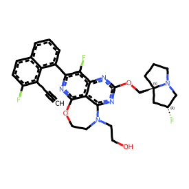 C#Cc1c(F)ccc2cccc(-c3nc4c5c(nc(OC[C@@]67CCCN6C[C@H](F)C7)nc5c3F)N(CCO)CCO4)c12